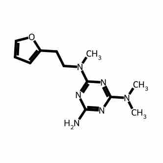 CN(C)c1nc(N)nc(N(C)CCc2ccco2)n1